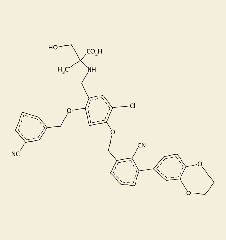 CC(CO)(NCc1cc(Cl)c(OCc2cccc(-c3ccc4c(c3)OCCO4)c2C#N)cc1OCc1cccc(C#N)c1)C(=O)O